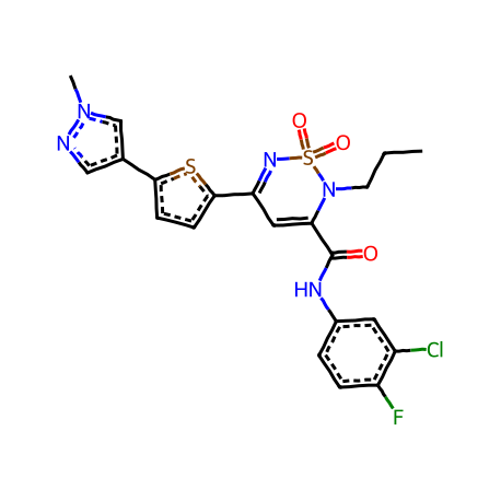 CCCN1C(C(=O)Nc2ccc(F)c(Cl)c2)=CC(c2ccc(-c3cnn(C)c3)s2)=NS1(=O)=O